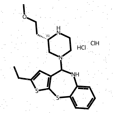 CCc1cc2c(s1)Sc1ccccc1NC2N1CCN[C@@H](CCOC)C1.Cl.Cl